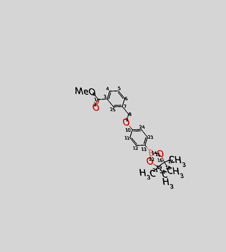 COC(=O)c1cccc(COc2ccc(B3OC(C)(C)C(C)(C)O3)cc2)c1